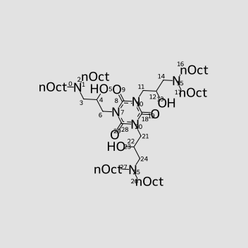 CCCCCCCCN(CCCCCCCC)CC(O)Cn1c(=O)n(CC(O)CN(CCCCCCCC)CCCCCCCC)c(=O)n(CC(O)CN(CCCCCCCC)CCCCCCCC)c1=O